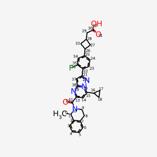 C[C@@H]1c2ccccc2CCN1C(=O)c1cc(C2CC2)n2nc(-c3ccc(C4CC(CC(=O)O)C4)cc3F)cc2n1